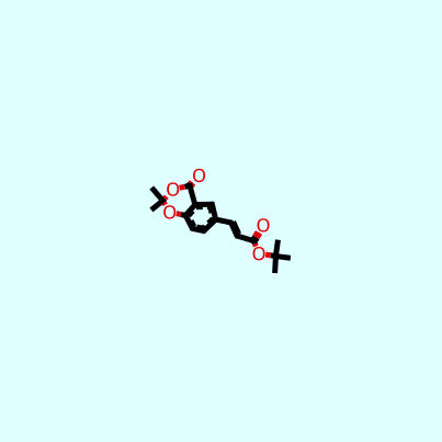 CC(C)(C)OC(=O)/C=C/c1ccc2c(c1)C(=O)OC(C)(C)O2